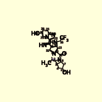 C/C=C1\C2CC(O)CC2N1C(=O)c1cc(NCC(F)(F)F)c(C(=N)c2cnc3ccc(O)cn23)cn1